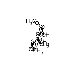 COCC(CO)COC(=O)CCN(CCC(=O)OCC(CO)COC(=O)CCC1CCC(C)CC1)C(=O)OC(C)(C)C